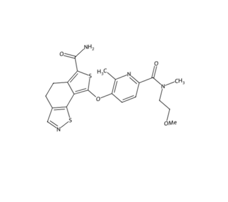 COCCN(C)C(=O)c1ccc(Oc2sc(C(N)=O)c3c2-c2sncc2CC3)c(C)n1